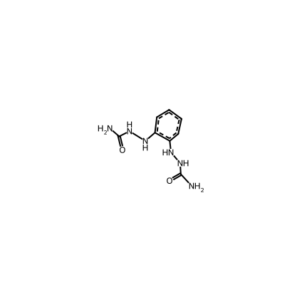 NC(=O)NNc1ccccc1NNC(N)=O